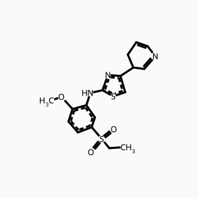 CCS(=O)(=O)c1ccc(OC)c(Nc2nc(C3C=NC=CC3)cs2)c1